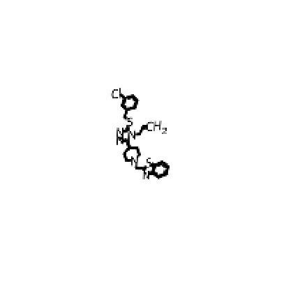 C=CCn1c(SCc2cccc(Cl)c2)nnc1C1CCN(Cc2nc3ccccc3s2)CC1